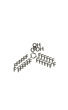 OB(O)Oc1cc(C(F)(F)C(F)(F)C(F)(F)C(F)(F)C(F)(F)C(F)(F)F)cc(C(F)(F)C(F)(F)C(F)(F)C(F)(F)C(F)(F)C(F)(F)F)c1